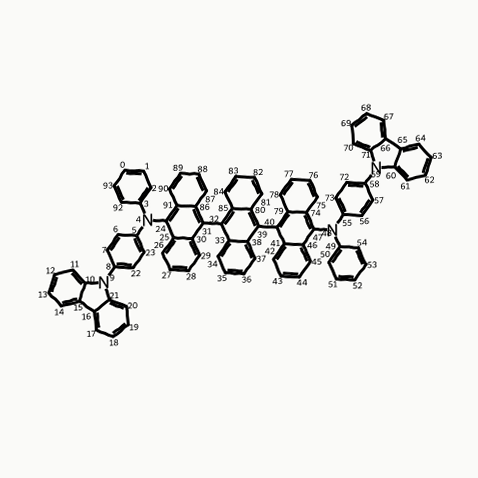 c1ccc(N(c2ccc(-n3c4ccccc4c4ccccc43)cc2)c2c3ccccc3c(-c3c4ccccc4c(-c4c5ccccc5c(N(c5ccccc5)c5ccc(-n6c7ccccc7c7ccccc76)cc5)c5ccccc45)c4ccccc34)c3ccccc23)cc1